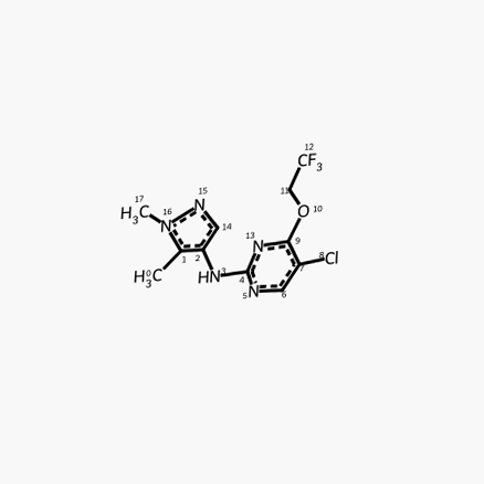 Cc1c(Nc2ncc(Cl)c(OCC(F)(F)F)n2)cnn1C